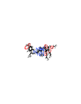 CCCOC[C@H]1O[C@@H](n2cnc3c(N(CCC)Cc4ccc5c(c4)OCO5)ncnc32)[C@@H](OCCC)C1OCCC